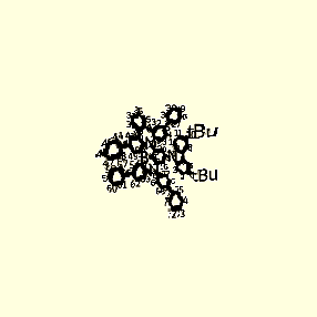 CC(C)(C)c1ccc2c(c1)c1cc(C(C)(C)C)ccc1n2-c1cc2c3c(c1)N1c4ccc(-c5ccccc5)cc4-c4ccccc4-c4cc(-c5ccccc5)cc(c41)B3c1cc(-c3ccccc3)ccc1N2c1ccc(-c2ccccc2)cc1